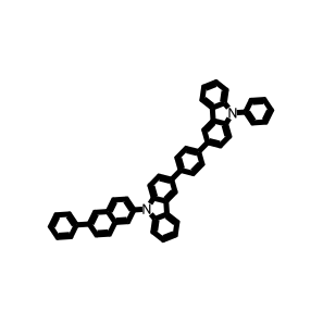 c1ccc(-c2ccc3cc(-n4c5ccccc5c5cc(-c6ccc(-c7ccc8c(c7)c7ccccc7n8-c7ccccc7)cc6)ccc54)ccc3c2)cc1